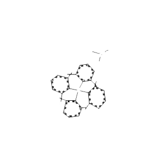 CC[NH+](CC)CC.Fc1cccc(F)c1[B-](c1c(F)cccc1F)(c1c(F)cccc1F)c1c(F)cccc1F